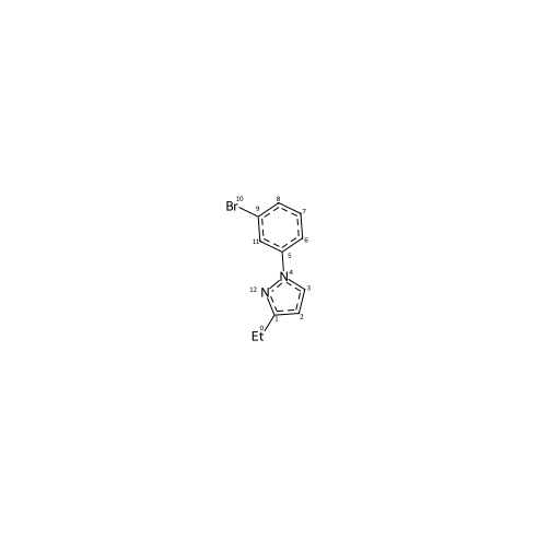 CCc1ccn(-c2cccc(Br)c2)n1